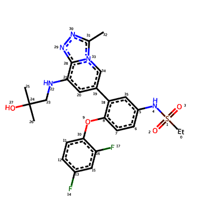 CCS(=O)(=O)Nc1ccc(Oc2ccc(F)cc2F)c(-c2cc(NCC(C)(C)O)c3nnc(C)n3c2)c1